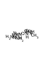 CC(=O)C[C@H](NC(=O)c1ccc(NCc2cnc3nc(N)nc(N)c3n2)cc1)C(=O)O